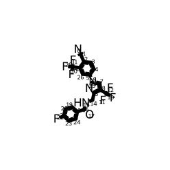 N#Cc1ccc(-n2cc(C(F)(F)F)c(CNC(=O)c3ccc(F)cc3)n2)cc1C(F)(F)F